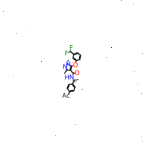 CC(=O)c1ccc([C@H](C)NC(=O)c2c(C)nn(C)c2Oc2cccc(C(F)F)c2)cc1